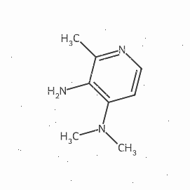 Cc1nccc(N(C)C)c1N